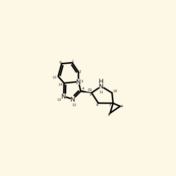 c1ccn2c([C@@H]3CC4(CC4)CN3)nnc2c1